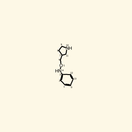 c1ccc(NOCC2CCNC2)cc1